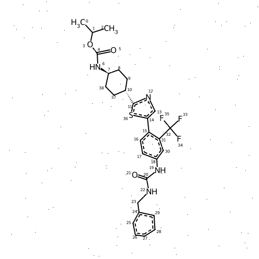 CC(C)OC(=O)N[C@H]1CC[C@H](c2ncc(-c3ccc(NC(=O)NCc4ccccc4)cc3C(F)(F)F)s2)CC1